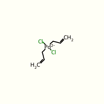 C=C[CH2][Pd-2]([Cl])([Cl])[CH2]C=C